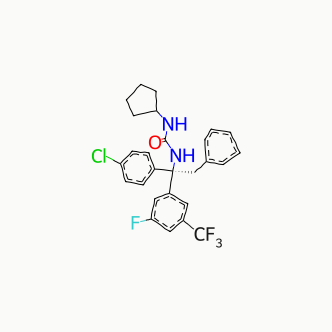 O=C(NC1CCCC1)N[C@](Cc1ccccc1)(c1ccc(Cl)cc1)c1cc(F)cc(C(F)(F)F)c1